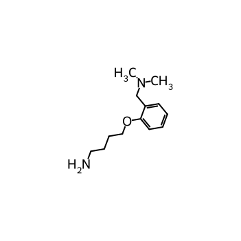 CN(C)Cc1ccccc1OCCCCN